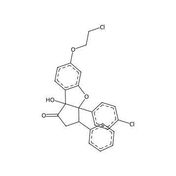 O=C1CC(c2ccccc2)C2(c3ccc(Cl)cc3)Oc3cc(OCCCl)ccc3C12O